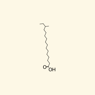 CCC(C)CCCCCCCCCCCCC(=O)O